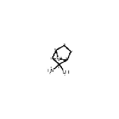 NC1(O)CC2CCC1N2